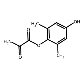 Cc1cc(O)cc(C)c1OC(=O)C(N)=O